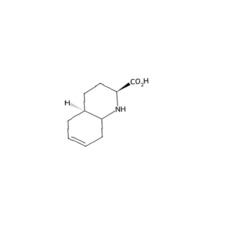 O=C(O)[C@@H]1CC[C@@H]2CC=CCC2N1